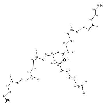 CC(C)CCCC(C)CCCC(C)CCCC(C)CCC(CCC(C)CCCC(C)CCCC(C)CCCC(C)C)OC(=O)CCCCCN(C)C